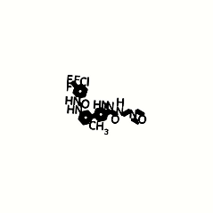 Cc1ccc(NC(=O)Nc2ccc(Cl)c(C(F)(F)F)c2)cc1-c1ccc2c(C(=O)NCCN3CCOCC3)n[nH]c2c1